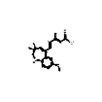 COc1ccc2c(c1)C(C=CC(C)=CC(=O)O)=CC(C)(C)CO2